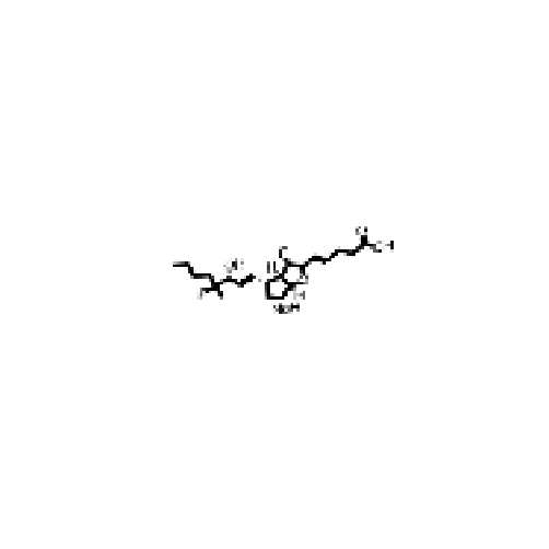 CCCCC(C)(F)[C@H](O)/C=C/[C@H]1CC[C@@H]2OC(/C=C/CCC(=O)O)C(F)[C@@H]21.[NaH]